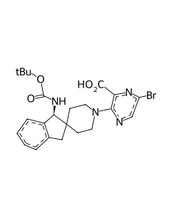 CC(C)(C)OC(=O)N[C@@H]1c2ccccc2CC12CCN(c1ncc(Br)nc1C(=O)O)CC2